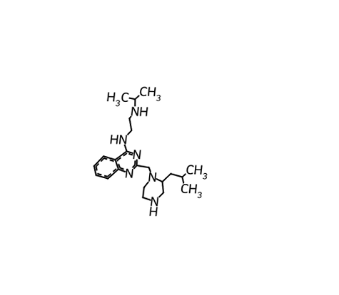 CC(C)CC1CNCCN1Cc1nc(NCCNC(C)C)c2ccccc2n1